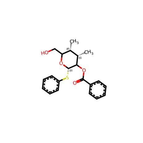 C[C@@H]1C(OC(=O)c2ccccc2)[C@H](Sc2ccccc2)OC(CO)[C@@H]1C